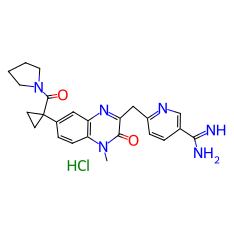 Cl.Cn1c(=O)c(Cc2ccc(C(=N)N)cn2)nc2cc(C3(C(=O)N4CCCC4)CC3)ccc21